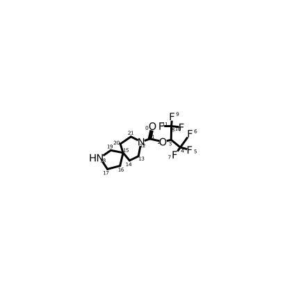 O=C(OC(C(F)(F)F)C(F)(F)F)N1CCC2(CCNC2)CC1